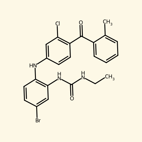 CCNC(=O)Nc1cc(Br)ccc1Nc1ccc(C(=O)c2ccccc2C)c(Cl)c1